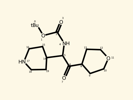 CC(C)(C)OC(=O)NC(C(=O)C1CCOCC1)C1CCNCC1